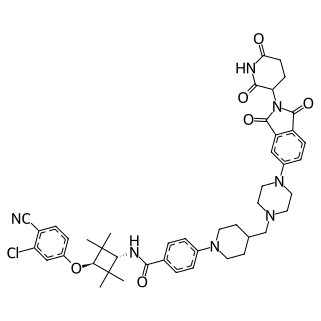 CC1(C)[C@H](NC(=O)c2ccc(N3CCC(CN4CCN(c5ccc6c(c5)C(=O)N(C5CCC(=O)NC5=O)C6=O)CC4)CC3)cc2)C(C)(C)[C@H]1Oc1ccc(C#N)c(Cl)c1